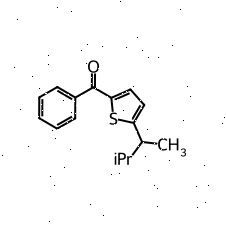 CC(C)C(C)c1ccc(C(=O)c2ccccc2)s1